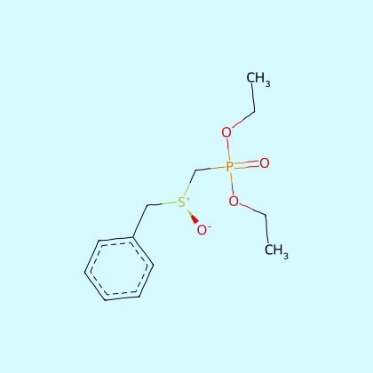 CCOP(=O)(C[S@@+]([O-])Cc1ccccc1)OCC